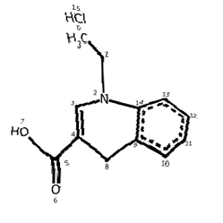 CCN1C=C(C(=O)O)Cc2ccccc21.Cl